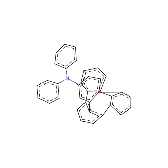 c1ccc(N(c2ccccc2)c2ccc3c(c2)-c2c4cccc2-c2cccc-3c2-c2ccccc2-4)cc1